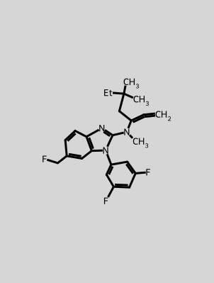 C=C=C(CC(C)(C)CC)N(C)c1nc2ccc(CF)cc2n1-c1cc(F)cc(F)c1